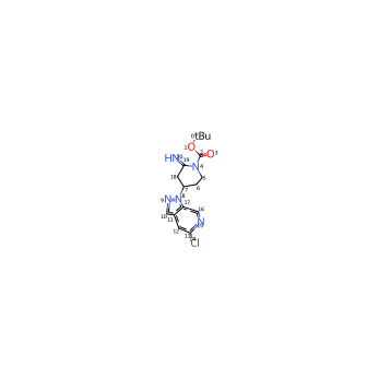 CC(C)(C)OC(=O)N1CCC(n2ncc3cc(Cl)ncc32)CC1=N